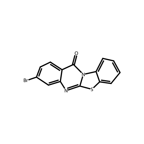 O=c1c2ccc(Br)cc2nc2sc3ccccc3n12